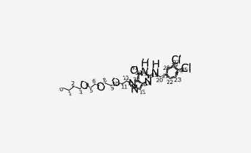 CCCCOCCOCCOCCn1ncc2nc(NCc3ccc(Cl)c(Cl)c3)[nH]c(=O)c21